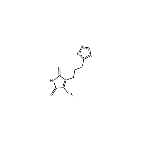 CC1=C(CCSc2nncs2)C(=O)NC1=O